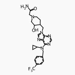 NC(=O)CN1CCC(Cn2cnc3c(N(Cc4ccc(C(F)(F)F)cc4)C4CC4)ncnc32)C(O)C1